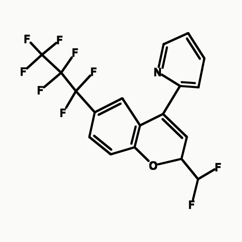 FC(F)C1C=C(c2ccccn2)c2cc(C(F)(F)C(F)(F)C(F)(F)F)ccc2O1